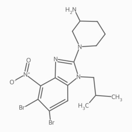 CC(C)Cn1c(N2CCCC(N)C2)nc2c([N+](=O)[O-])c(Br)c(Br)cc21